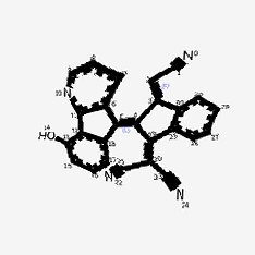 N#C/C=C1/C(=C2\c3cccnc3-c3c(O)cccc32)C(=C(C#N)C#N)c2ccccc21